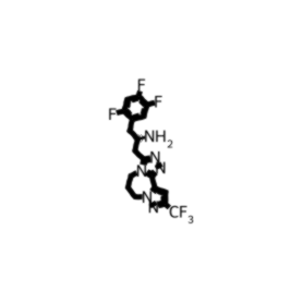 N[C@H](Cc1cc(F)c(F)cc1F)Cc1nnc2n1CCCn1nc(C(F)(F)F)cc1-2